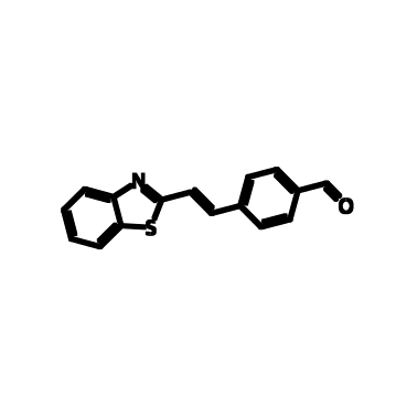 O=Cc1ccc(C=Cc2nc3ccccc3s2)cc1